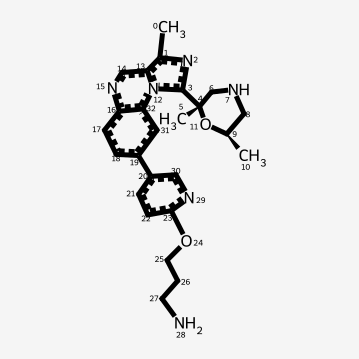 Cc1nc([C@]2(C)CNC[C@@H](C)O2)n2c1cnc1ccc(-c3ccc(OCCCN)nc3)cc12